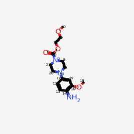 COCCOC(=O)N1CCN(c2ccc(N)c(OC)c2)CC1